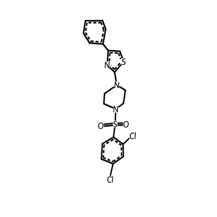 O=S(=O)(c1ccc(Cl)cc1Cl)N1CCN(c2nc(-c3ccccc3)cs2)CC1